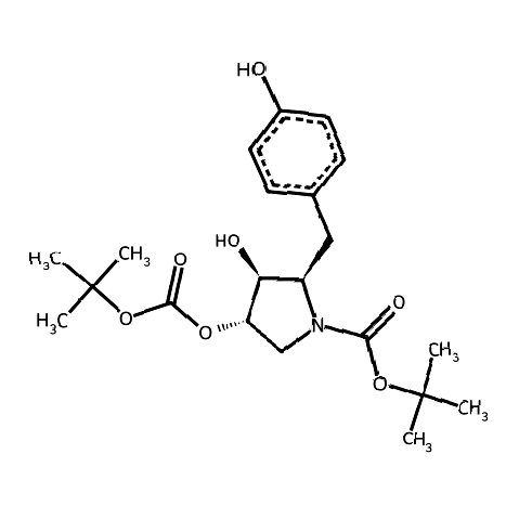 CC(C)(C)OC(=O)O[C@H]1CN(C(=O)OC(C)(C)C)[C@H](Cc2ccc(O)cc2)[C@@H]1O